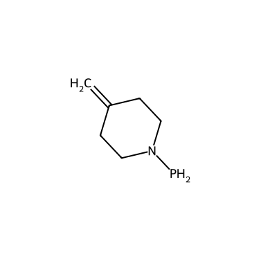 C=C1CCN(P)CC1